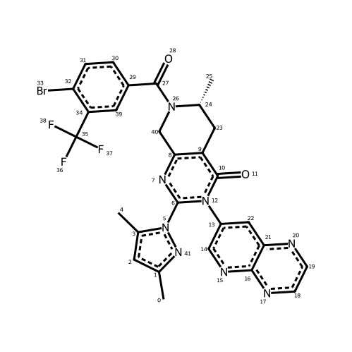 Cc1cc(C)n(-c2nc3c(c(=O)n2-c2cnc4nccnc4c2)C[C@@H](C)N(C(=O)c2ccc(Br)c(C(F)(F)F)c2)C3)n1